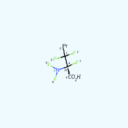 CC(C)C(F)(F)[C@@](F)(C(=O)O)N(F)F